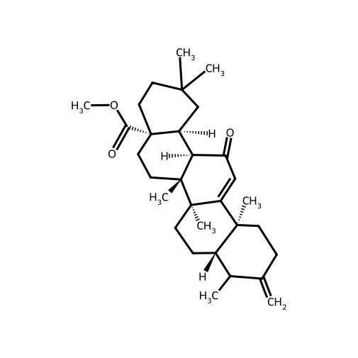 C=C1CC[C@]2(C)C3=CC(=O)[C@@H]4[C@@H]5CC(C)(C)CC[C@]5(C(=O)OC)CC[C@@]4(C)[C@]3(C)CC[C@H]2C1C